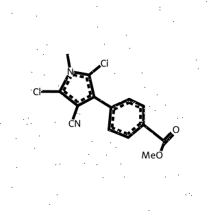 COC(=O)c1ccc(-c2c(C#N)c(Cl)n(C)c2Cl)cc1